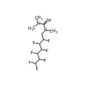 CN(C)C(=[Se])N(C)CC(F)C(F)C(F)C(F)C(F)C(F)F